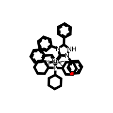 [Cl][Ru]([Cl])(=[CH]c1ccccc1)(=[C]1N(c2ccccc2)NC(c2ccccc2)N1c1ccccc1)[PH](C1CCCCC1)(C1CCCCC1)C1CCCCC1